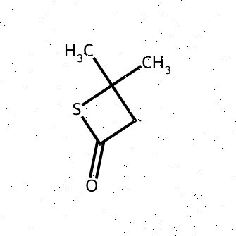 CC1(C)[CH]C(=O)S1